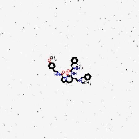 CCN(CC[C@H]1CC[C@H]2CC[C@@H](C(=O)NCCc3ccc(OC)cc3)N2C(=O)[C@H]1NC(=O)[C@@H](Cc1ccccc1)NC)Cc1ccccc1